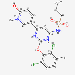 Cc1ccc(F)c(Oc2nc(NS(=O)(=O)CCC(C)C)cc(-c3ccc(=O)n(C)c3)n2)c1Cl